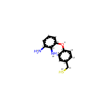 Nc1cccc(Oc2ccc(CS)cc2)c1N